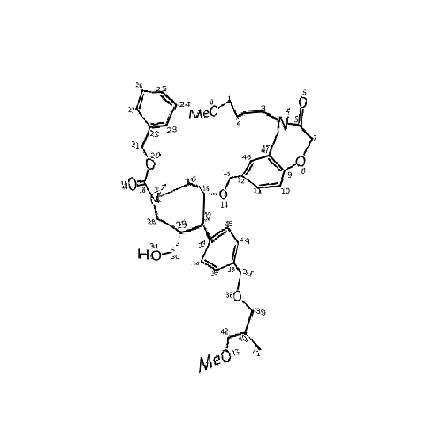 COCCCN1C(=O)COc2ccc(CO[C@H]3CN(C(=O)OCc4ccccc4)C[C@@H](CO)[C@@H]3c3ccc(COC[C@@H](C)COC)cc3)cc21